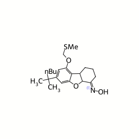 CCCCC(C)(C)c1cc(OCSC)c2c(c1)OC1/C(=N/O)CCCC21